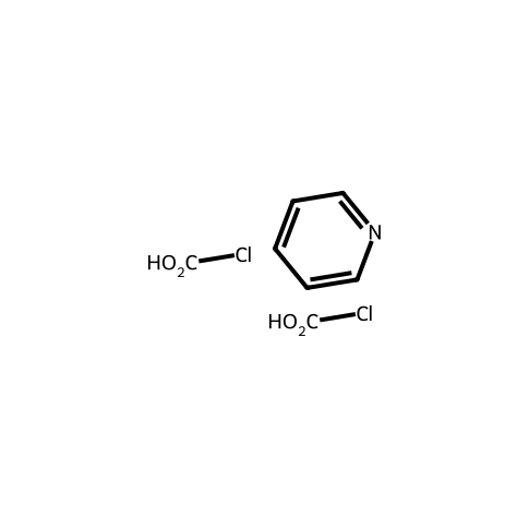 O=C(O)Cl.O=C(O)Cl.c1ccncc1